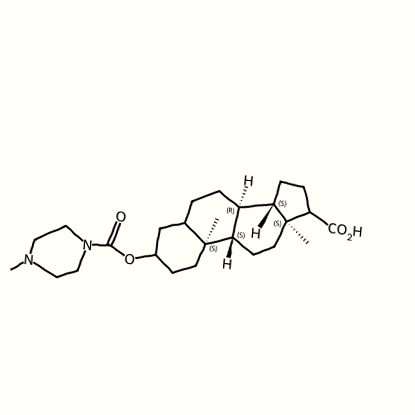 CN1CCN(C(=O)OC2CC[C@@]3(C)C(CC[C@@H]4[C@@H]3CC[C@]3(C)C(C(=O)O)CC[C@@H]43)C2)CC1